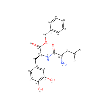 CC(C)C[C@H](N)C(=O)N[C@@H](Cc1ccc(O)c(O)c1)C(=O)OCc1ccccc1